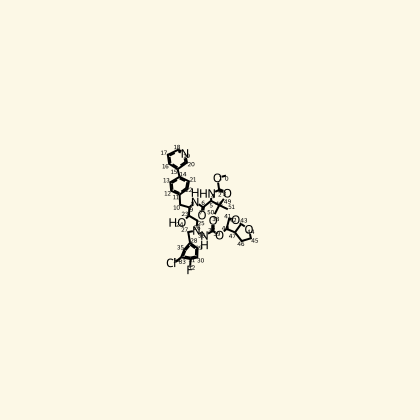 COC(=O)NC(C(=O)NC(Cc1ccc(-c2cccnc2)cc1)C(O)CN(Cc1ccc(F)c(Cl)c1)NC(=O)OC1COC2OCCC12)C(C)(C)C